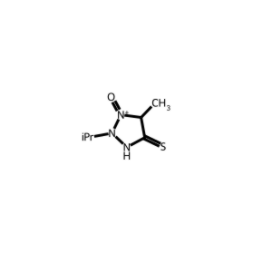 CC(C)N1NC(=S)C(C)[N+]1=O